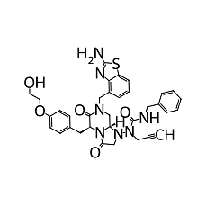 C#CCN(C(=O)NCc1ccccc1)N1CC(=O)N2[C@@H](Cc3ccc(OCCO)cc3)C(=O)N(Cc3cccc4sc(N)nc34)C[C@@H]21